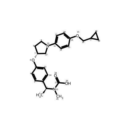 C[C@@H](c1ccc(O[C@@H]2CCN(c3ccc(OCC4CC4)cc3)C2)cc1)N(C)C(=O)O